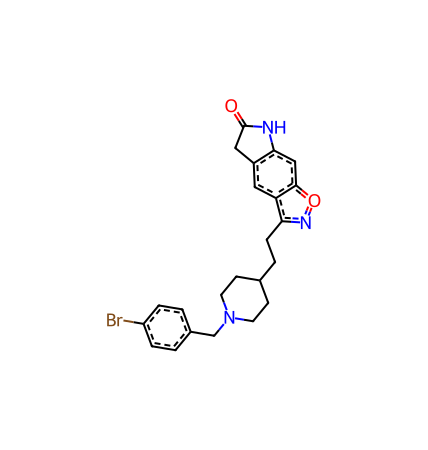 O=C1Cc2cc3c(CCC4CCN(Cc5ccc(Br)cc5)CC4)noc3cc2N1